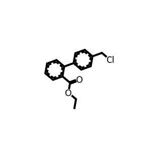 CCOC(=O)c1ccccc1-c1ccc(CCl)cc1